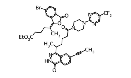 CC#Cc1ccc2c(=O)[nH]nc(C(C)CCCC(=O)N3CCN(c4ncc(C(F)(F)F)cn4)CC3)c2c1.CCOC(=O)CCCC(C)=C1OC(=O)c2ccc(Br)cc21